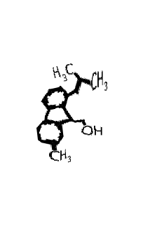 Cc1ccc2c(c1)C(CO)c1c(CC(C)C)cccc1-2